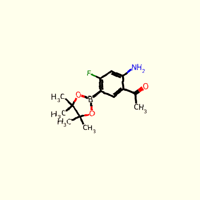 CC(=O)c1cc(B2OC(C)(C)C(C)(C)O2)c(F)cc1N